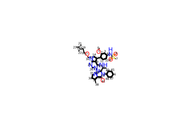 COc1cc(NS(C)(=O)=O)ccc1-c1cn(COCC[Si](C)(C)C)c2ncnc(NC(C)c3nn4ccc(C)c4c(=O)n3-c3ccccc3)c12